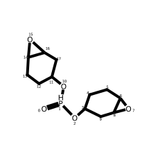 O=[PH](OC1CCC2OC2C1)OC1CCC2OC2C1